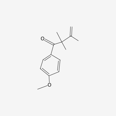 C=C(C)C(C)(C)C(=O)c1ccc(OC)cc1